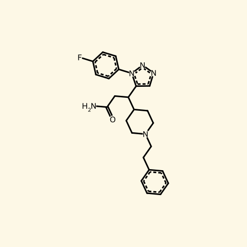 NC(=O)CC(c1cnnn1-c1ccc(F)cc1)C1CCN(CCc2ccccc2)CC1